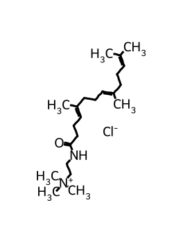 CC(C)=CCCC(C)=CCCC(C)=CCCC(=O)NCC[N+](C)(C)C.[Cl-]